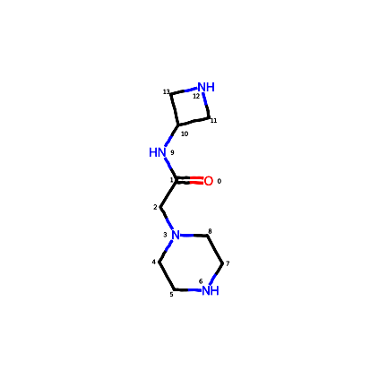 O=C(CN1CCNCC1)NC1CNC1